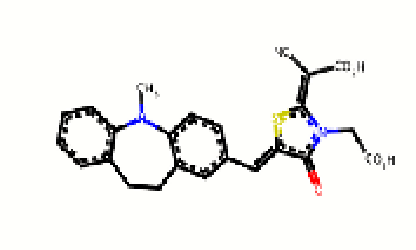 CN1c2ccccc2CCc2cc(/C=c3\s/c(=C(\C#N)C(=O)O)n(CC(=O)O)c3=O)ccc21